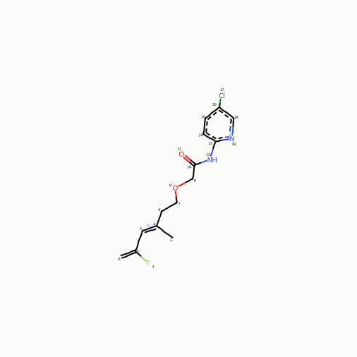 C=C(F)/C=C(\C)CCOCC(=O)Nc1ccc(Cl)cn1